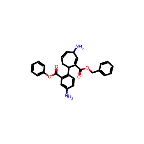 Nc1ccc(C2CC=CC(N)C=C2C(=O)OCc2ccccc2)c(C(=O)Oc2ccccc2)c1